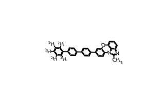 [2H]c1c([2H])c([2H])c(-c2ccc(-c3ccc(-c4ccc5c(c4)Oc4cccc6nc(C)n-5c46)cc3)cc2)c([2H])c1[2H]